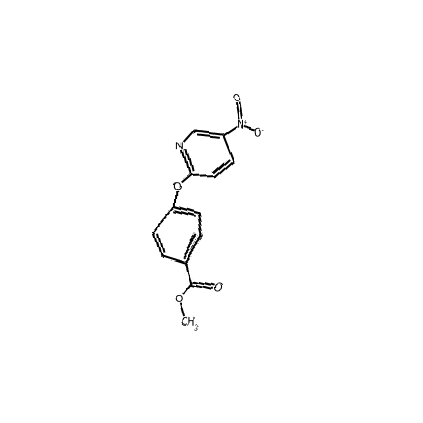 COC(=O)c1ccc(Oc2ccc([N+](=O)[O-])cn2)cc1